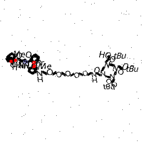 COc1cccc(OC)c1/C(=C/C(=N)C(=O)NC1(CO)C2CC3CC(C2)C1C3)Nc1ccc(NCCOCCOCCOCCOCCOCCNC(=O)CN2CCN(CC(=O)OC(C)(C)C)CCN(CC(=O)OC(C)(C)C)CCN(CC(O)OC(C)(C)C)CC2)cc1C(C)C